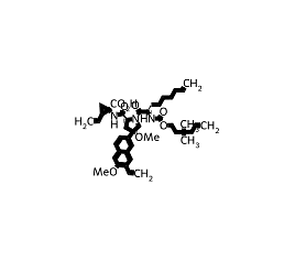 C=CCCCCC[C@H](NC(=O)OCCC(C)(C)CC=C)C(=O)N1C[C@](OC)(c2ccc3cc(OC)c(C=C)cc3c2)C[C@H]1C(=O)NC1(C(=O)O)CC1C=C